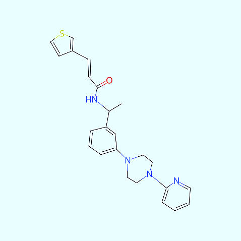 CC(NC(=O)C=Cc1ccsc1)c1cccc(N2CCN(c3ccccn3)CC2)c1